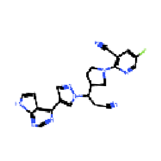 N#CCC(C1CCN(c2ncc(F)cc2C#N)C1)n1cc(-c2ncnc3[nH]ccc23)cn1